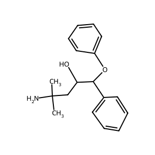 CC(C)(N)CC(O)C(Oc1ccccc1)c1ccccc1